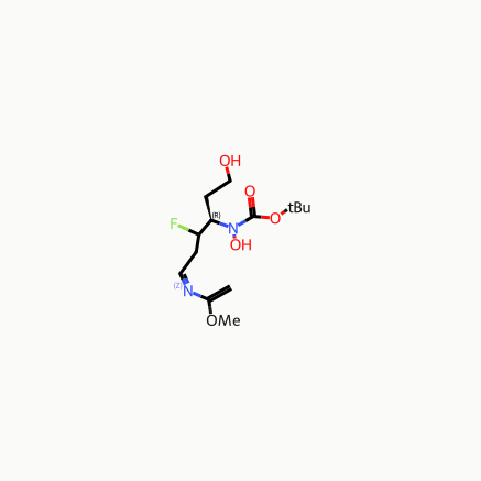 C=C(/N=C\CC(F)[C@@H](CCO)N(O)C(=O)OC(C)(C)C)OC